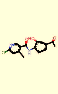 CC(=O)c1ccc(NC(=O)c2cnc(Cl)cc2C)c(O)c1